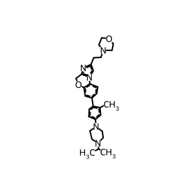 Cc1cc(N2CCN(C(C)C)CC2)ccc1-c1ccc2c(c1)OCc1nc(CCN3CCOCC3)cn1-2